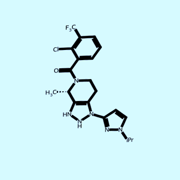 CC(C)n1ccc(N2NNC3=C2CCN(C(=O)c2cccc(C(F)(F)F)c2Cl)[C@H]3C)n1